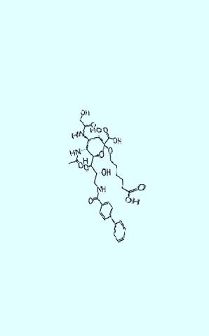 CC(=O)N[C@@H]1[C@@H](NC(=O)CO)[C@H](O)[C@](OCCCCCC(=O)O)(C(=O)O)O[C@H]1[C@H](O)[C@H](O)CNC(=O)c1ccc(-c2ccccc2)cc1